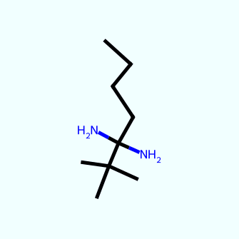 CCCCC(N)(N)C(C)(C)C